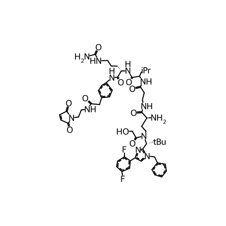 CC(C)C(NC(=O)CCNC(=O)[C@@H](N)CCN(C(=O)CO)[C@@H](c1nc(-c2cc(F)ccc2F)cn1Cc1ccccc1)C(C)(C)C)C(=O)N[C@@H](CCCNC(N)=O)C(=O)Nc1ccc(CC(=O)NCCN2C(=O)C=CC2=O)cc1